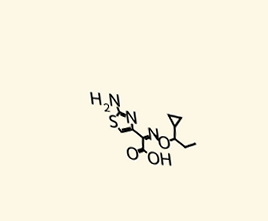 CCC(ON=C(C(=O)O)c1csc(N)n1)C1CC1